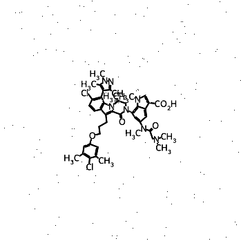 Cc1cc(OCCCc2c3n(c4c(-c5c(C)nn(C)c5C)c(Cl)ccc24)[C@H](C)CN(c2cc(N(C)C(=O)CN(C)C)cc4c(C(=O)O)cn(C)c24)C3=O)cc(C)c1Cl